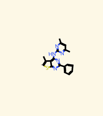 Cc1cc(C)nc(Nc2nc(-c3ccccc3)nc3s[c]c(C)c23)n1